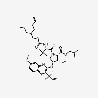 C=CCCC(CCC)COC(=O)N[C@H](C(=O)N1C[C@H](Oc2nc3cc(OC)ccc3nc2C(F)(F)C=C)[C@@H](CC)[C@H]1C(=O)OCC(C)C)C(C)(C)C